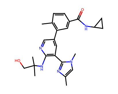 Cc1cn(C)c(-c2cc(-c3cc(C(=O)NC4CC4)ccc3C)cnc2NC(C)(C)CO)n1